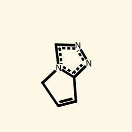 C1=Cc2nncn2C1